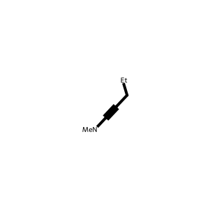 CCCC#CNC